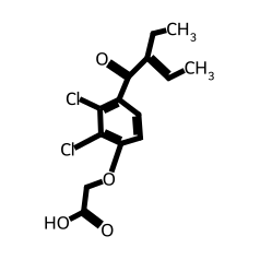 CC=C(CC)C(=O)c1ccc(OCC(=O)O)c(Cl)c1Cl